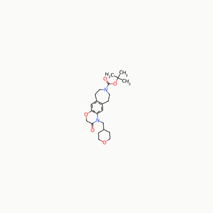 CC(C)(C)OC(=O)N1CCc2cc3c(cc2CC1)N(CC1CCOCC1)C(=O)CO3